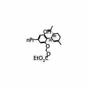 C=C(C)[C@@H]1CCC(C)=C[C@H]1c1c(O)cc(CCC)cc1OCOC(=O)OCC